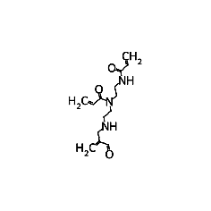 C=CC(=O)NCCN(CCNCC(=C)C=O)C(=O)C=C